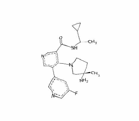 C[C@H](NC(=O)c1cncc(-c2cncc(F)c2)c1N1CC[C@](C)(N)C1)C1CC1